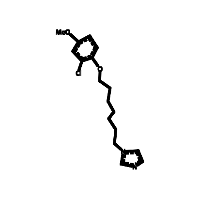 COc1ccc(OCCCCCCCn2ccnc2)c(Cl)c1